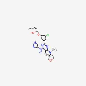 CNCC(O)COc1cc(Cl)cc(-c2nc(Nc3cncnc3)c(C)c(N(C)C3CCOCC3)n2)c1